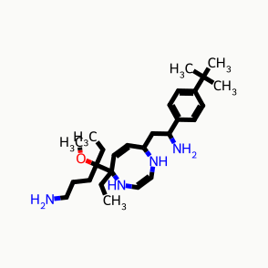 CCC1(C(CC)(CCCN)OC)/C=C\C(CC(N)c2ccc(C(C)(C)C)cc2)N/C=C\N1